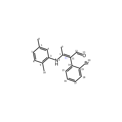 C/C(Nc1cc(C)ccc1C)=C(\C=O)c1ccccc1Br